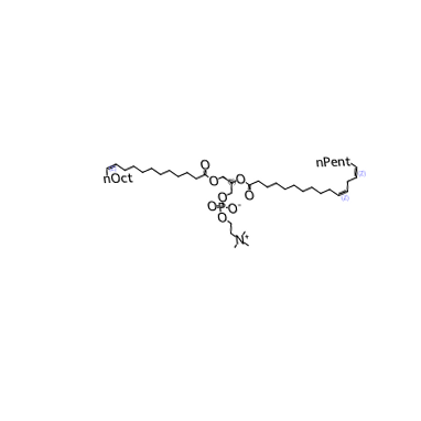 CCCCC/C=C\C/C=C\CCCCCCCCCC(=O)O[C@H](COC(=O)CCCCCCCCC/C=C\CCCCCCCC)COP(=O)([O-])OCC[N+](C)(C)C